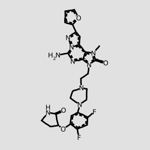 Cn1c(=O)n(CCN2CCN(c3cc(O[C@H]4CCNC4=O)c(F)cc3F)CC2)c2nc(N)n3nc(-c4ccco4)cc3c21